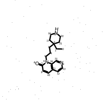 CCC1(CCCn2c(=O)ccc3ccncc32)CCNCC1